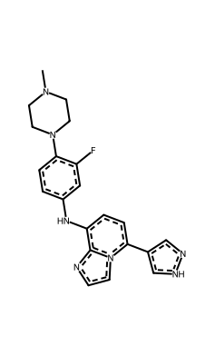 CN1CCN(c2ccc(Nc3ccc(-c4cn[nH]c4)n4ccnc34)cc2F)CC1